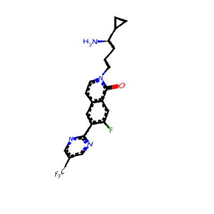 N[C@H](CCCn1ccc2cc(-c3ncc(C(F)(F)F)cn3)c(F)cc2c1=O)C1CC1